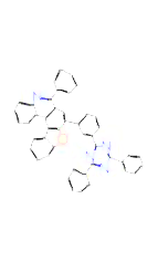 c1ccc(-c2nc(-c3ccccc3)nc(-c3cccc(-c4cc5c(-c6ccccc6)nc6ccccc6c5c5c4oc4ccccc45)c3)n2)cc1